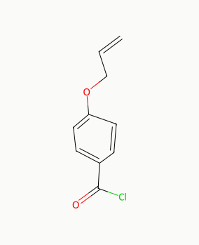 C=CCOc1ccc(C(=O)Cl)cc1